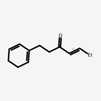 CC/C=C/C(=O)CCC1=CCCC=C1